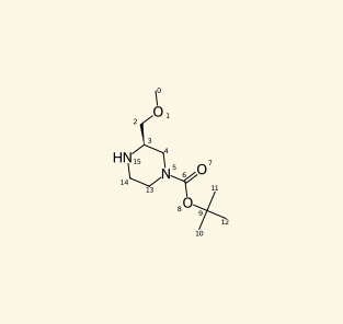 COC[C@H]1CN(C(=O)OC(C)(C)C)CCN1